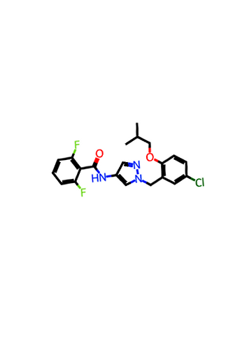 CC(C)COc1ccc(Cl)cc1Cn1cc(NC(=O)c2c(F)cccc2F)cn1